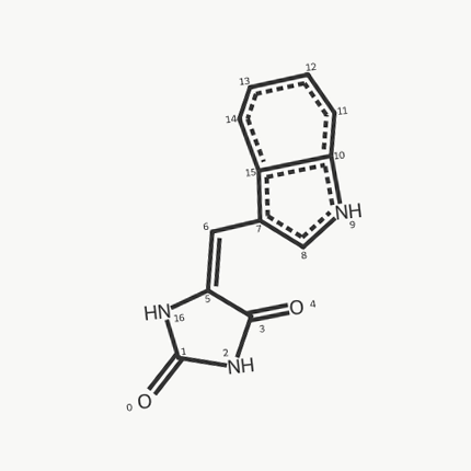 O=C1NC(=O)C(=Cc2c[nH]c3ccccc23)N1